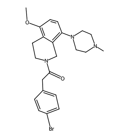 COc1ccc(N2CCN(C)CC2)c2c1CCN(C(=O)Cc1ccc(Br)cc1)C2